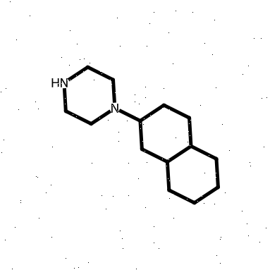 C1CCC2CC(N3CCNCC3)CCC2C1